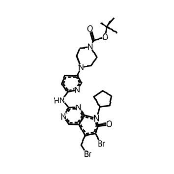 CC(C)(C)OC(=O)N1CCN(c2ccc(Nc3ncc4c(CBr)c(Br)c(=O)n(C5CCCC5)c4n3)nc2)CC1